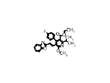 CCOC(=O)c1c(C(C)C)nc(OC)c(/C=C/c2nc3ccccc3o2)c1-c1ccc(F)cc1